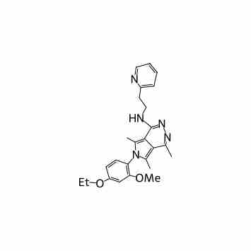 CCOc1ccc(-n2c(C)c3c(C)nnc(NCCc4ccccn4)c3c2C)c(OC)c1